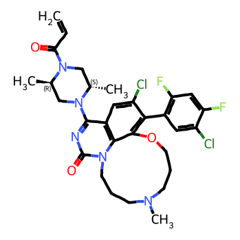 C=CC(=O)N1C[C@H](C)N(c2nc(=O)n3c4c(c(-c5cc(Cl)c(F)cc5F)c(Cl)cc24)OCCCN(C)CCC3)C[C@H]1C